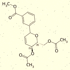 COC(=O)c1cccc(C2C=C[C@H](OC(C)=O)[C@@H](COC(C)=O)O2)c1